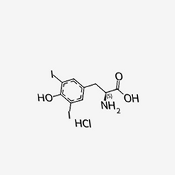 Cl.N[C@@H](Cc1cc(I)c(O)c(I)c1)C(=O)O